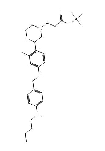 CCCCOc1ccc(COc2ccc(C3CN(CCC(=O)OC(C)(C)C)CCO3)c(C)c2)cc1